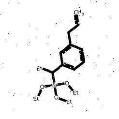 C=CCc1cccc(C(CC)[Si](OCC)(OCC)OCC)c1